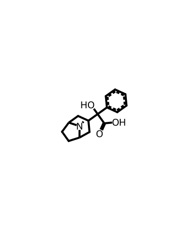 CN1C2CCC1CC(C(O)(C(=O)O)c1ccccc1)C2